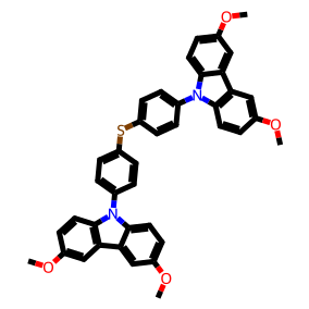 COc1ccc2c(c1)c1cc(OC)ccc1n2-c1ccc(Sc2ccc(-n3c4ccc(OC)cc4c4cc(OC)ccc43)cc2)cc1